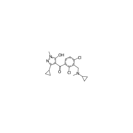 CN(Cc1c(Cl)ccc(C(=O)c2c(C3CC3)nn(C)c2O)c1Cl)C1CC1